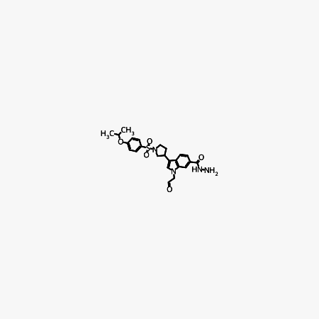 CC(C)Oc1ccc(S(=O)(=O)N2CCC(c3cn(CC=O)c4cc(C(=O)NN)ccc34)C2)cc1